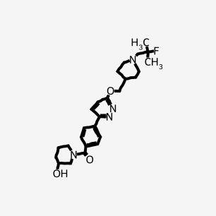 CC(C)(F)CN1CCC(COc2ccc(-c3ccc(C(=O)N4CCCC(O)C4)cc3)nn2)CC1